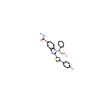 CNC(=O)c1ccc2c(c1)nc(-c1nc(-c3ccc(Cl)cc3)cs1)n2C(COC)c1ccccc1